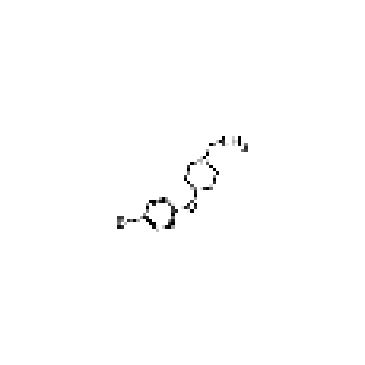 CCN1CCC(Oc2ccc(Br)cc2)CC1